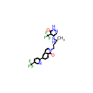 C[C@H](CCCn1ccc2cc(-c3ccc(C(F)(F)F)cn3)ccc2c1=O)Nc1cn[nH]c(=O)c1C(F)(F)F